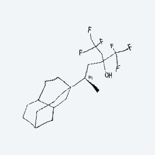 C[C@H](CC(O)(C(F)(F)F)C(F)(F)F)C12CCC3CCC(CC3C1)C2